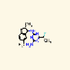 Cc1ccc2c(c1)[C@H](Nc1nc(N)nc([C@@H](C)F)n1)[C@@H](C)C2